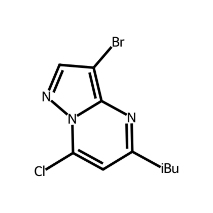 CCC(C)c1cc(Cl)n2ncc(Br)c2n1